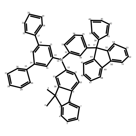 CC1(C)c2ccccc2-c2ccc(N(c3cc(-c4ccccc4)cc(-c4ccccc4)c3)c3cccc(C4(c5ccccc5)c5ccccc5-c5ccccc54)c3)cc21